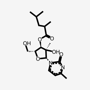 Cc1ccn([C@@H]2O[C@H](CO)[C@@H](OC(=O)C(C)CC(C)C)[C@@]2(C)O)c(=O)n1